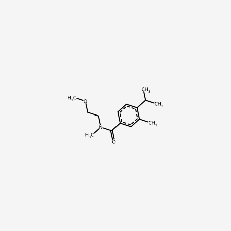 COCCN(C)C(=O)c1ccc(C(C)C)c(C)c1